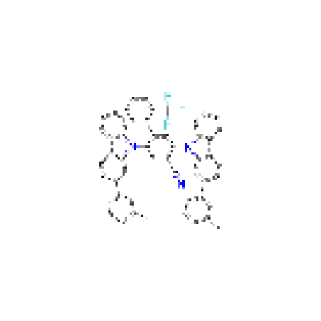 Cc1cccc(-c2ccc3c4ccccc4n(-c4cc(-c5ccccc5C(F)(F)F)c(-n5c6ccccc6c6ccc(-c7cccc(C)c7)cc65)cc4C#N)c3c2)c1